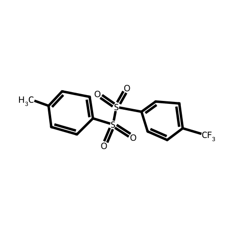 Cc1ccc(S(=O)(=O)S(=O)(=O)c2ccc(C(F)(F)F)cc2)cc1